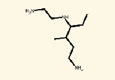 [CH2]CC(NCCN)C(C)CCN